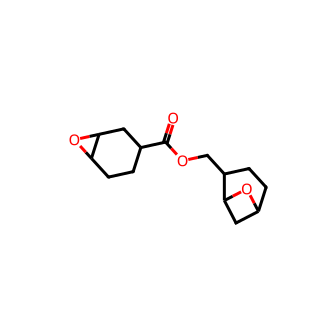 O=C(OCC1CCC2CC1O2)C1CCC2OC2C1